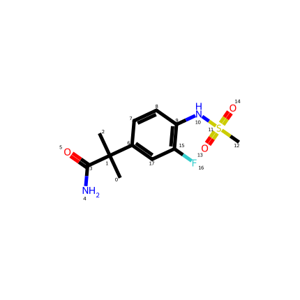 CC(C)(C(N)=O)c1ccc(NS(C)(=O)=O)c(F)c1